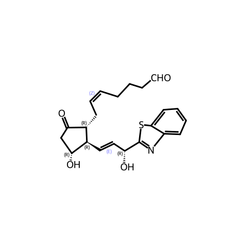 O=CCCC/C=C\C[C@H]1C(=O)C[C@@H](O)[C@@H]1/C=C/[C@@H](O)c1nc2ccccc2s1